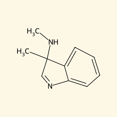 CNC1(C)C=Nc2ccccc21